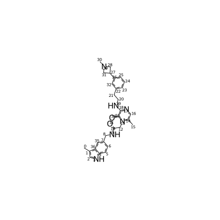 Cc1c[nH]c2ccc(CNC(=O)Cn3c(C)cnc(NCCc4cccc(C5CN(C)C5)c4)c3=O)cc12